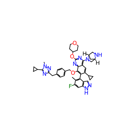 Cc1c(F)cc2[nH]ncc2c1-c1c(C2CC2)cc2c(N3C[C@@H]4C[C@H]3CN4)nc(OC3CCOCC3)nc2c1OCc1ccc(Cc2nc(C3CC3)n(C)n2)cc1